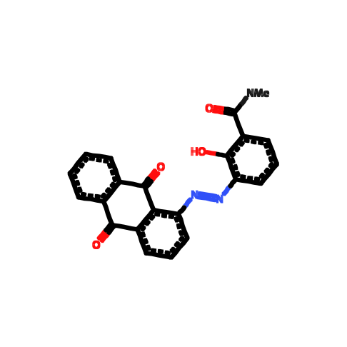 CNC(=O)c1cccc(N=Nc2cccc3c2C(=O)c2ccccc2C3=O)c1O